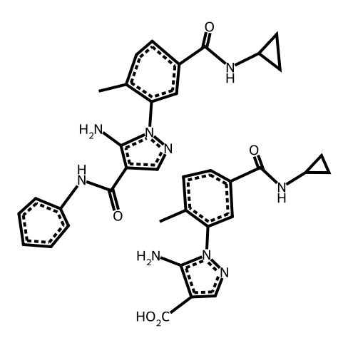 Cc1ccc(C(=O)NC2CC2)cc1-n1ncc(C(=O)Nc2ccccc2)c1N.Cc1ccc(C(=O)NC2CC2)cc1-n1ncc(C(=O)O)c1N